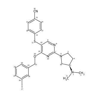 CN(C)[C@@H]1CCN(c2ncc(Sc3ccc(C#N)cc3)c(OCc3cccc(I)c3)n2)C1